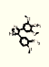 COc1ccc(-c2[nH]cnc2-c2cc(OC)c(O)c(OC)c2)cc1N